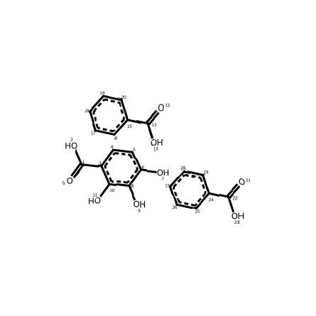 O=C(O)c1ccc(O)c(O)c1O.O=C(O)c1ccccc1.O=C(O)c1ccccc1